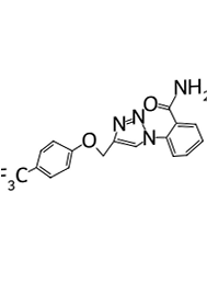 NC(=O)c1ccccc1-n1cc(COc2ccc(C(F)(F)F)cc2)nn1